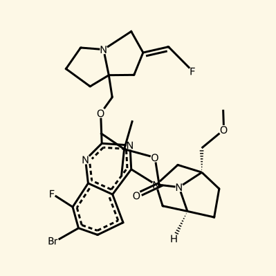 COC[C@@]12CC[C@@H](CN(c3nc(OCC45CCCN4C/C(=C/F)C5)nc4c(F)c(Br)ccc34)C1)N2C(=O)OC(C)(C)C